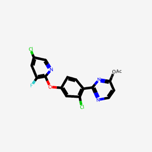 CC(=O)Oc1ccnc(-c2ccc(Oc3ncc(Cl)cc3F)cc2Cl)n1